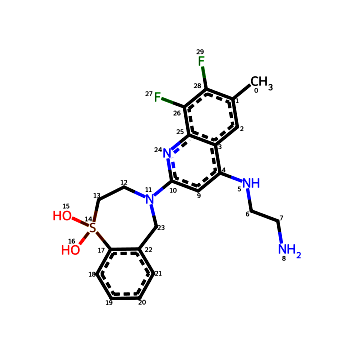 Cc1cc2c(NCCN)cc(N3CCS(O)(O)c4ccccc4C3)nc2c(F)c1F